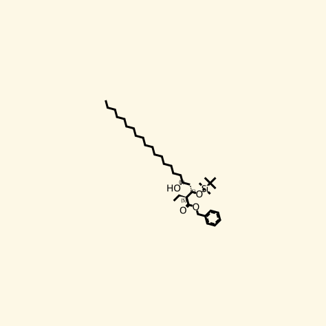 CCCCCCCCCCCCCCCCC[C@@H](O)C[C@H](O[Si](C)(C)C(C)(C)C)[C@H](CC)C(=O)OCc1ccccc1